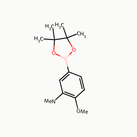 CNc1cc(B2OC(C)(C)C(C)(C)O2)ccc1OC